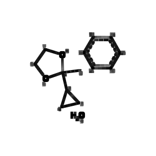 CC1(C2CC2)OCCO1.O.c1ccccc1